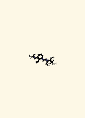 C=CC1=C(/C=C(\C)OC)C=CC/C1=C\C=C(/CC)C(OC)C(C)(C)O